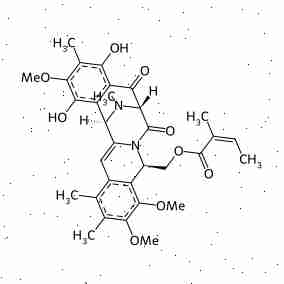 C/C=C(/C)C(=O)OC[C@H]1c2c(c(C)c(C)c(OC)c2OC)C=C2[C@H]3c4c(O)c(OC)c(C)c(O)c4C(=O)[C@H](C(=O)N21)N3C